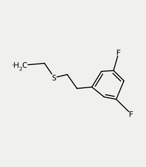 [CH2]CSCCc1cc(F)cc(F)c1